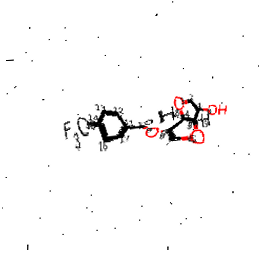 O[C@@H]1CO[C@H]2[C@@H]1OC[C@@H]2OCc1ccc(C(F)(F)F)cc1